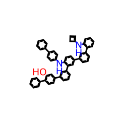 Oc1cc(-c2cccc(-c3cc(-c4cccc(-c5ccccc5NC5=C=CC5)c4)ccc3Nc3ccc(-c4ccccc4)cc3)c2)ccc1-c1ccccc1